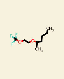 CCCCC(C)OCCOC(F)(F)F